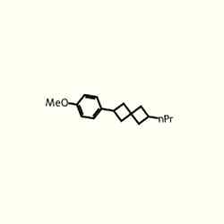 CCCC1CC2(C1)CC(c1ccc(OC)cc1)C2